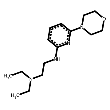 CCN(CC)CCNc1c[c]cc(N2CCOCC2)n1